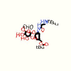 CC(C)(C)NCCC(=O)Nc1cc(COC(=O)C(C)(C)C)ccc1O[C@@H]1O[C@H](OC=O)[C@@H](O)[C@H](O)[C@H]1O